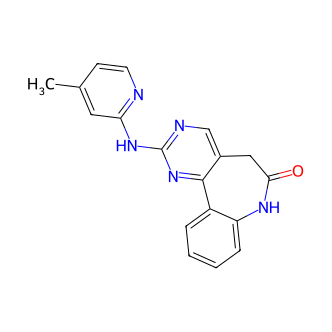 Cc1ccnc(Nc2ncc3c(n2)-c2ccccc2NC(=O)C3)c1